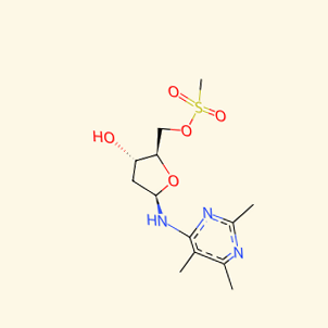 Cc1nc(C)c(C)c(N[C@H]2C[C@H](O)[C@@H](COS(C)(=O)=O)O2)n1